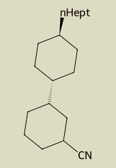 CCCCCCC[C@H]1CC[C@H](C2CCCC(C#N)C2)CC1